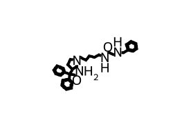 NC(=O)C(c1ccccc1)(c1ccccc1)C1CCN(CCCCCNC(=O)CNCc2ccccc2)C1